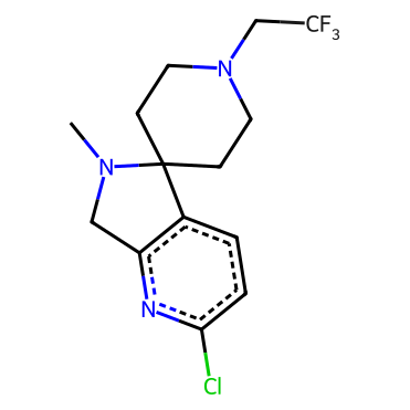 CN1Cc2nc(Cl)ccc2C12CCN(CC(F)(F)F)CC2